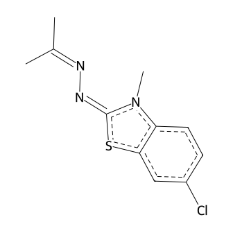 CC(C)=NN=c1sc2cc(Cl)ccc2n1C